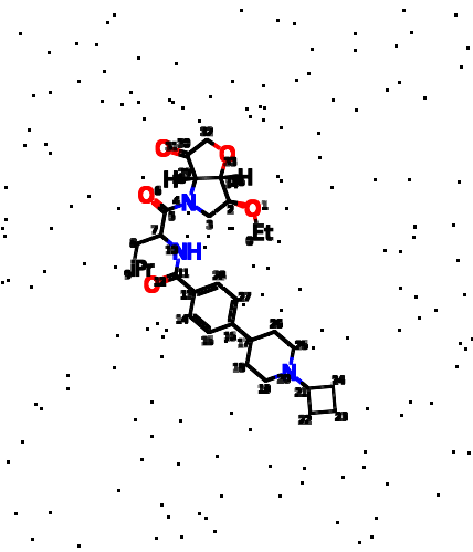 CCO[C@H]1CN(C(=O)C(CC(C)C)NC(=O)c2ccc(C3CCN(C4CCC4)CC3)cc2)[C@@H]2C(=O)CO[C@H]12